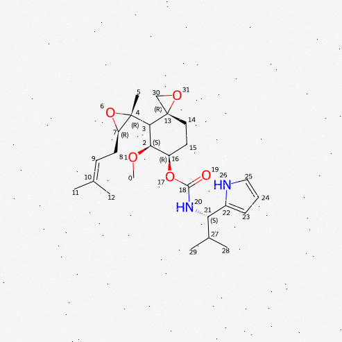 CO[C@H]1C([C@@]2(C)O[C@@H]2CC=C(C)C)[C@]2(CC[C@H]1OC(=O)N[C@H](c1ccc[nH]1)C(C)C)CO2